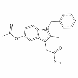 CC(=O)Oc1ccc2c(c1)c(CC(N)=O)c(C)n2Cc1ccccc1